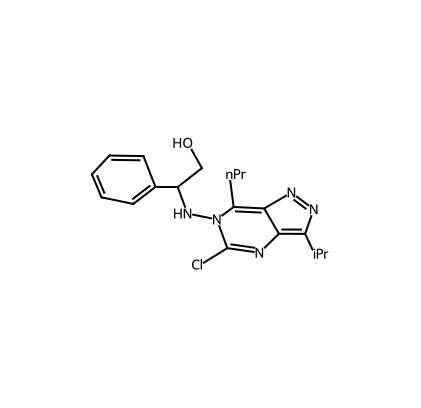 CCCc1c2nnc(C(C)C)c-2nc(Cl)n1NC(CO)c1ccccc1